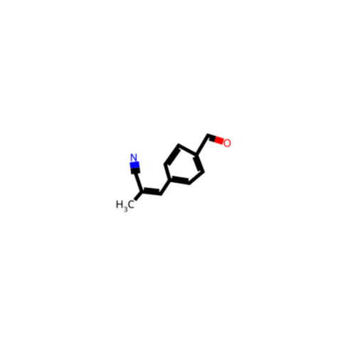 CC(C#N)=Cc1ccc(C=O)cc1